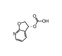 O=C(O)O[C@H]1COc2ncccc21